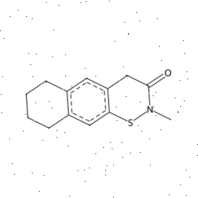 CN1Sc2cc3c(cc2CC1=O)CCCC3